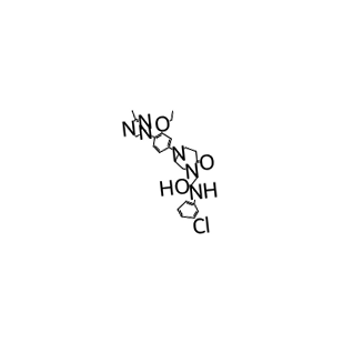 CCOc1cc(N2CCC(=O)N(CC(O)Nc3cccc(Cl)c3)CC2)ccc1-n1cnc(C)n1